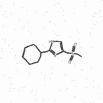 CS(=O)(=O)c1c[nH]c(C2CCCCC2)n1